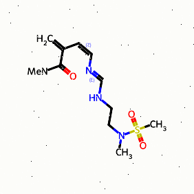 C=C(/C=C\N=C\NCCN(C)S(C)(=O)=O)C(=O)NC